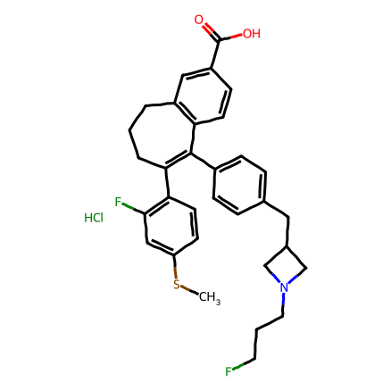 CSc1ccc(C2=C(c3ccc(CC4CN(CCCF)C4)cc3)c3ccc(C(=O)O)cc3CCC2)c(F)c1.Cl